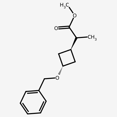 COC(=O)C(C)[C@H]1C[C@H](OCc2ccccc2)C1